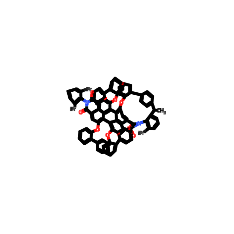 CC(C)c1cccc(C(C)C)c1N1C(=O)c2cc(Oc3ccccc3-c3ccccc3)c3c4c(Oc5ccccc5-c5ccccc5)cc5c6c7cc(c(c8c(Oc9ccccc9-c9ccccc9)cc(c2c38)C1=O)c64)Oc1ccccc1-c1ccc(cc1)C(C)c1cccc(C(C)C)c1N(C5=O)C7=O